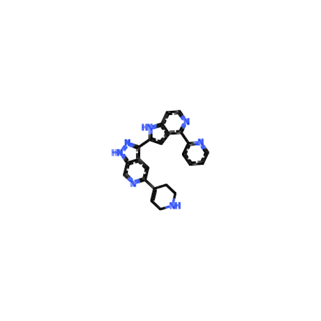 C1=C(c2cc3c(-c4cc5c(-c6ccccn6)nccc5[nH]4)n[nH]c3cn2)CCNC1